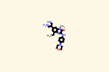 CCc1cc(/C(C=N)=C/N)cc2c1nc(Nc1ccc(N3CCOCC3)cc1)c(=O)n2C